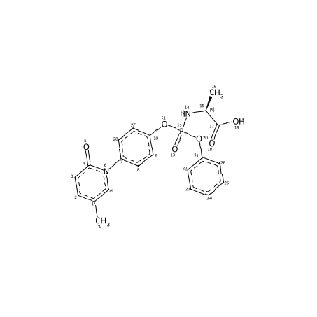 Cc1ccc(=O)n(-c2ccc(OP(=O)(N[C@@H](C)C(=O)O)Oc3ccccc3)cc2)c1